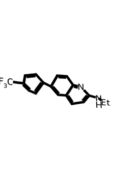 CCNc1ccc2cc(-c3ccc(C(F)(F)F)cc3)ccc2n1